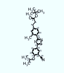 Cc1cc(CCC(=O)OC(C)(C)C)ccc1-c1nsc(-c2ccc(OC(C)C)c(C#N)c2)n1